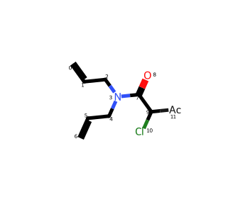 C=CCN(CC=C)C(=O)C(Cl)C(C)=O